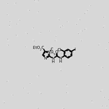 CCOC(=O)c1cnc(NC(=O)Nc2ccc(I)cc2Cl)n1C